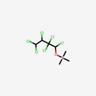 C[Si](C)(C)OC(Cl)C(Cl)(Cl)C(Cl)C(Cl)Cl